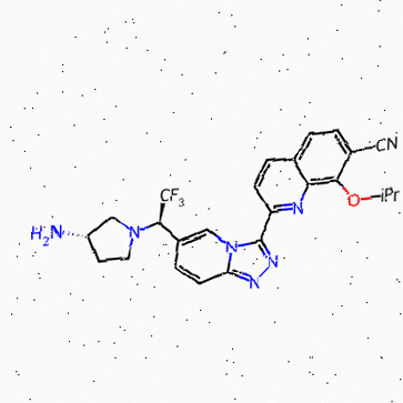 CC(C)Oc1c(C#N)ccc2ccc(-c3nnc4ccc([C@@H](N5CC[C@H](N)C5)C(F)(F)F)cn34)nc12